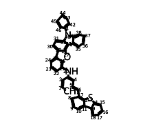 C\C=C/C(=C\C=C\c1cccc2c1sc1ccccc12)Nc1cccc2c1oc1c2ccc2c1c1ccccc1n2-c1ccccc1